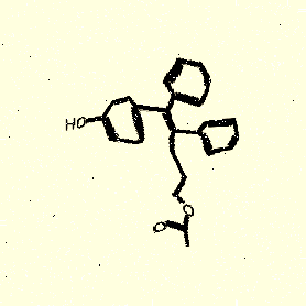 CC(=O)OCCC/C(=C(/c1ccccc1)c1ccc(O)cc1)c1ccccc1